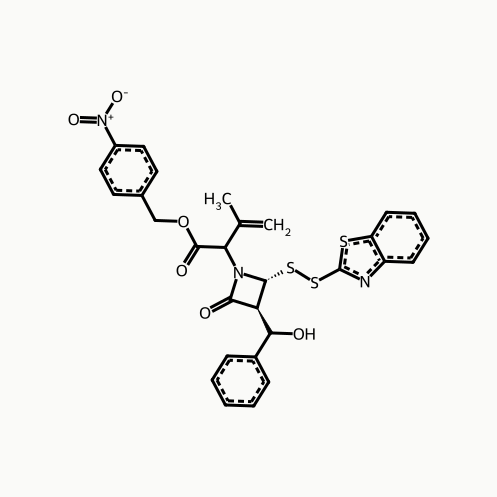 C=C(C)C(C(=O)OCc1ccc([N+](=O)[O-])cc1)N1C(=O)[C@H](C(O)c2ccccc2)[C@H]1SSc1nc2ccccc2s1